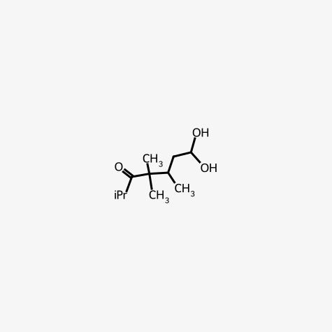 CC(C)C(=O)C(C)(C)C(C)CC(O)O